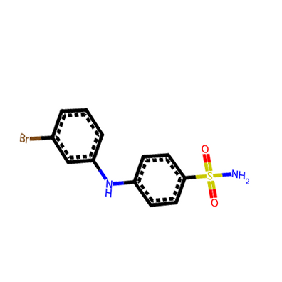 NS(=O)(=O)c1ccc(Nc2cccc(Br)c2)cc1